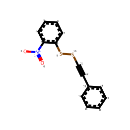 O=[N+]([O-])c1ccccc1SSC#Cc1ccccc1